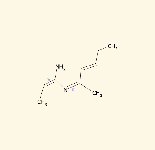 C/C=C(N)\N=C(\C)C=CCC